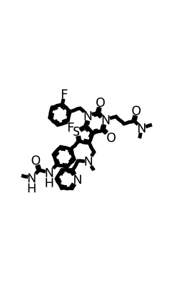 CNC(=O)Nc1ccc(-c2sc3c(c2CN(C)Cc2ccccn2)c(=O)n(CCC(=O)N(C)C)c(=O)n3Cc2c(F)cccc2F)cc1